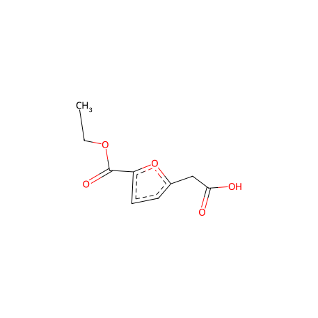 CCOC(=O)c1ccc(CC(=O)O)o1